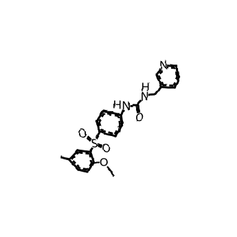 COc1ccc(C)cc1S(=O)(=O)c1ccc(NC(=O)NCc2cccnc2)cc1